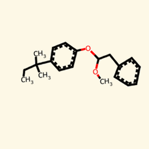 CCC(C)(C)c1ccc(OC(Cc2ccccc2)OC)cc1